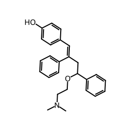 CN(C)CCOC(CC(=Cc1ccc(O)cc1)c1ccccc1)c1ccccc1